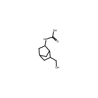 O=C(O)NC1CC2CC(CO)C1C2